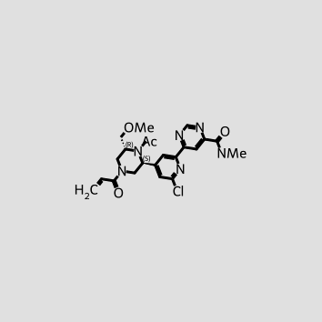 C=CC(=O)N1C[C@H](COC)N(C(C)=O)[C@@H](c2cc(Cl)nc(-c3cc(C(=O)NC)ncn3)c2)C1